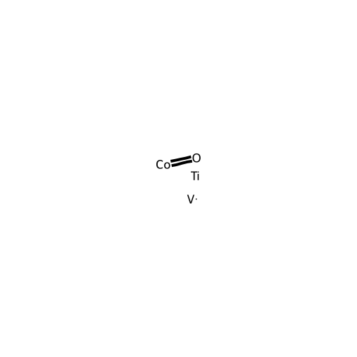 [O]=[Co].[Ti].[V]